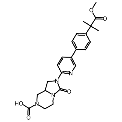 COC(=O)C(C)(C)c1ccc(-c2ccc(N3CC4CN(C(=O)O)CCN4C3=O)nc2)cc1